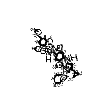 COCc1cc(OC)c(S(=O)(=O)Nc2noc3cc(Nc4cc(C5CC5)n(C5CCCCO5)n4)c(OC)cc23)c(OC)c1